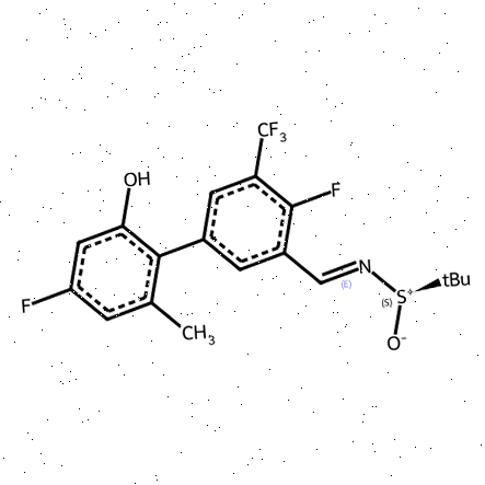 Cc1cc(F)cc(O)c1-c1cc(/C=N/[S@+]([O-])C(C)(C)C)c(F)c(C(F)(F)F)c1